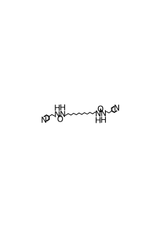 O=C(NCCCCCCCCCCCCNC(=O)NCCc1ccncc1)NCCc1ccncc1